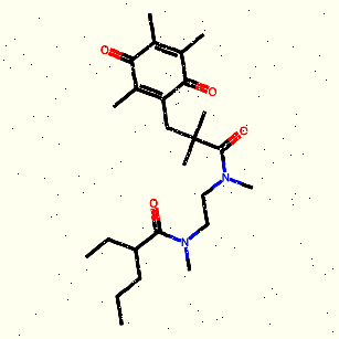 CCCC(CC)C(=O)N(C)CCN(C)C(=O)C(C)(C)CC1=C(C)C(=O)C(C)=C(C)C1=O